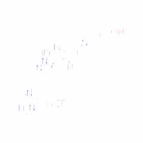 CC(C)n1nc(-c2cnc(N)c(OC(F)(F)F)c2)cc1[C@H]1[C@@H]2C[C@@H](N3CCC(CO)CC3)C[C@@H]21